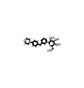 OC[C@H]1S[C@@H](c2cccc(Cc3ccc(N4CCOCC4)cc3)c2)[C@H](O)[C@@H](O)[C@@H]1O